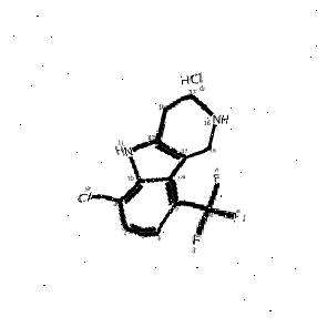 Cl.FC(F)(F)c1ccc(Cl)c2[nH]c3c(c12)CNCC3